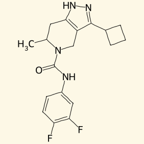 CC1Cc2[nH]nc(C3CCC3)c2CN1C(=O)Nc1ccc(F)c(F)c1